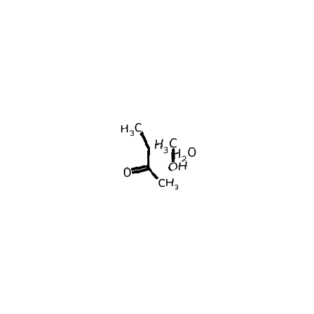 CCC(C)=O.CO.O